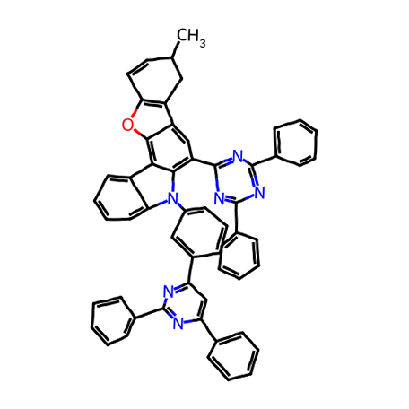 CC1C=Cc2oc3c(cc(-c4nc(-c5ccccc5)nc(-c5ccccc5)n4)c4c3c3ccccc3n4-c3cccc(-c4cc(-c5ccccc5)nc(-c5ccccc5)n4)c3)c2C1